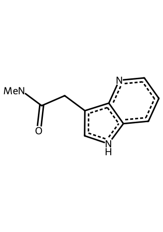 CNC(=O)Cc1c[nH]c2cccnc12